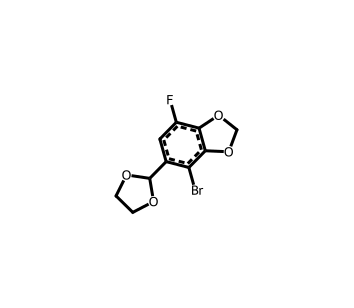 Fc1cc(C2OCCO2)c(Br)c2c1OCO2